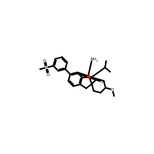 COC1CCC2(CC1)Cc1ccc(-c3cccc(S(C)(=O)=O)c3)cc1C21N=C(N)N(C(C)C)C1=O